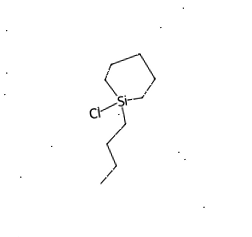 CCCC[Si]1(Cl)CCCCC1